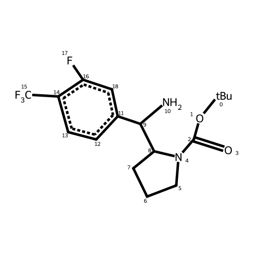 CC(C)(C)OC(=O)N1CCCC1C(N)c1ccc(C(F)(F)F)c(F)c1